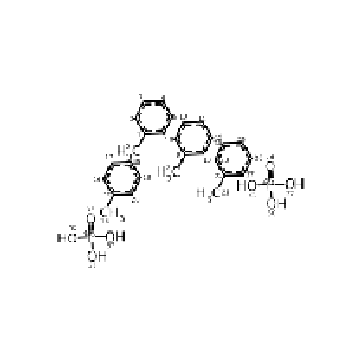 Cc1ccccc1.Cc1ccccc1.Cc1ccccc1.Cc1ccccc1.O=P(O)(O)O.O=P(O)(O)O